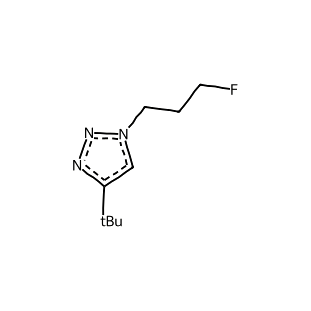 CC(C)(C)c1cn(CCCF)nn1